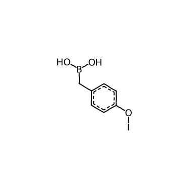 OB(O)Cc1ccc(OI)cc1